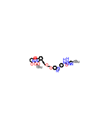 CC(C)(C)C(=O)OC(N1Cc2c(C#CCOCCOc3ccc4c(c3)ncn4-c3ccc(NC(=O)Nc4cc(C(C)(C)C)n[nH]4)cc3)cccc2C1=O)N1C(=O)CCCC1=O